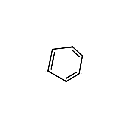 [c]1c[c]c[c]c1